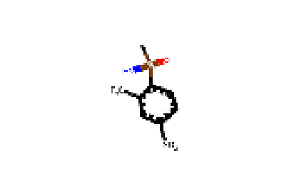 CS(=N)(=O)c1ccc([N+](=O)[O-])cc1C(F)(F)F